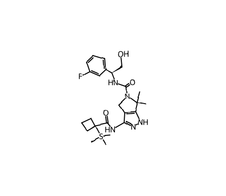 CC1(C)c2[nH]nc(NC(=O)C3(S(C)(C)C)CCC3)c2CN1C(=O)N[C@H](CO)c1cccc(F)c1